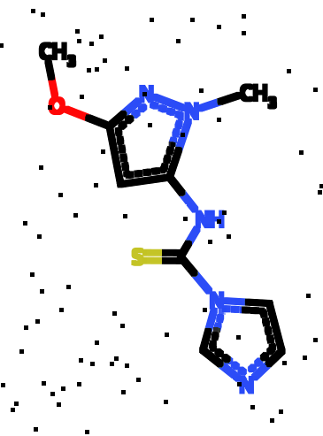 COc1cc(NC(=S)n2ccnc2)n(C)n1